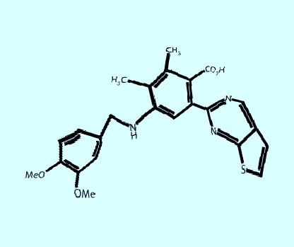 COc1ccc(CNc2cc(-c3ncc4ccsc4n3)c(C(=O)O)c(C)c2C)cc1OC